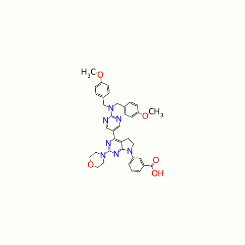 COc1ccc(CN(Cc2ccc(OC)cc2)c2ncc(-c3nc(N4CCOCC4)nc4c3CCN4c3cccc(C(=O)O)c3)cn2)cc1